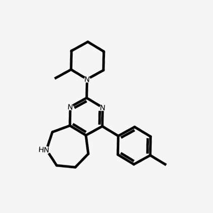 Cc1ccc(-c2nc(N3CCCCC3C)nc3c2CCCNC3)cc1